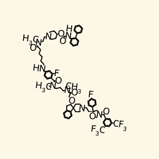 CN(CCN1CCC(OC(=O)Nc2ccccc2-c2ccccc2)CC1)C(=O)CCCCCNc1ccc(C(=O)N(C)CCCN(C)C(=O)CO[C@H]2Cc3ccccc3C23CCN(CC[C@@]2(c4ccc(F)cc4)CN(C(=O)c4cc(C(F)(F)F)cc(C(F)(F)F)c4)CO2)CC3)c(F)c1